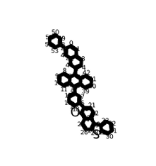 C1=CC2=CC=C(c3c4ccccc4c(-c4ccc5oc6c(ccc7c6ccc6sc8ccccc8c67)c5c4)c4ccccc34)CC2C=C1c1ccccc1